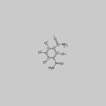 NC(=O)c1c(Cl)c(Cl)c(Cl)c(C(N)=O)c1Cl